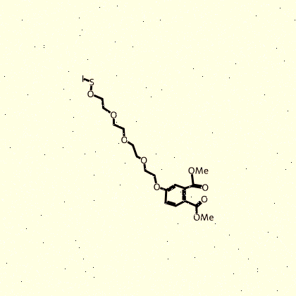 COC(=O)c1ccc(OCCOCCOCCOCCOSI)cc1C(=O)OC